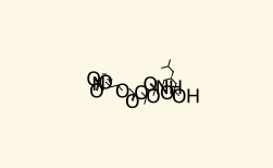 CC(C)C[C@H](CNC(=O)OC(C)OC(=O)COCCO[N+](=O)[O-])CC(=O)O